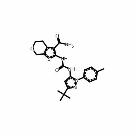 Cc1ccc(-n2nc(C(C)(C)C)cc2NC(=O)Nc2sc3c(c2C(N)=O)CCOC3)cc1